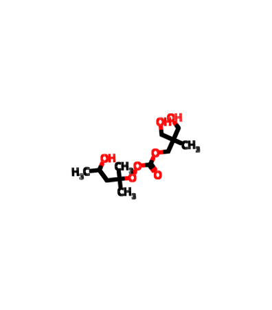 CC(O)CC(C)(C)OOC(=O)OCC(C)(CO)CO